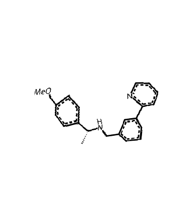 COc1ccc([C@@H](C)NCc2cccc(-c3ccccn3)c2)cc1